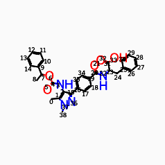 Cc1c(NC(=O)OC(C)c2ccccc2)c(-c2ccc(C(=O)N[C@H](Cc3ccccc3)C(=O)O)cc2)nn1C